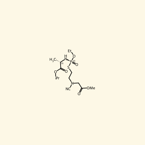 CCO[P@@](=O)(N[C@@H](C)C(=O)OC(C)C)SCCN(C#N)CC(=O)OC